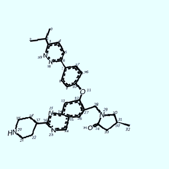 CC(C)c1ccc(-c2ccc(Oc3cc4nc(C5CCNCC5)ncc4cc3CN3C[C@@H](C)CC3=O)cc2)nn1